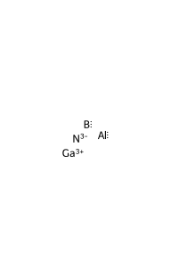 [Al].[B].[Ga+3].[N-3]